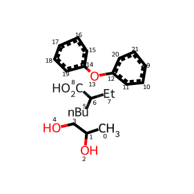 CC(O)CO.CCCCC(CC)C(=O)O.c1ccc(Oc2ccccc2)cc1